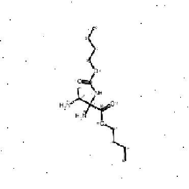 CCCCOC(=O)NC(N)(C(=O)OCCCC)C(C)N